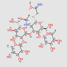 COC(=N)CS[C@@H]1O[C@@H](CO)[C@@H](O[C@@H]2OC(C)[C@@H](O)C(O)[C@@H]2O)C(O[C@@H]2O[C@@H](CO)[C@H](O)C(O)C2O[C@@H]2O[C@@H](C)[C@@H](O)C(O)C2O)C1NC(C)=O